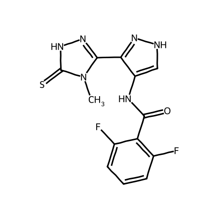 Cn1c(-c2n[nH]cc2NC(=O)c2c(F)cccc2F)n[nH]c1=S